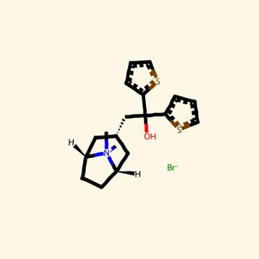 C[N+]1(C)[C@@H]2CC[C@H]1C[C@@H](CC(O)(c1cccs1)c1cccs1)C2.[Br-]